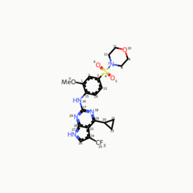 COc1cc(S(=O)(=O)N2CCOCC2)ccc1Nc1nc(C2CC2)c2c(C(F)(F)F)c[nH]c2n1